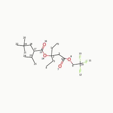 CCC(CC)(CC(=O)OCC(F)(F)F)OC(=O)C(CC(C)(C)C)C(C)C